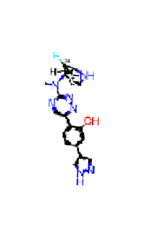 CN(c1ncc(-c2ccc(-c3cn[nH]c3)cc2O)nn1)[C@H]1CC2CC3C(N2)[C@@]31F